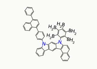 Bc1c(B)c(B)c(-n2c3cc4c(cc3c3c5ccccc5ccc32)c2ccccc2n4-c2ccc(-c3ccc(-c4ccccc4)c4ccccc34)cc2)c(B)c1B